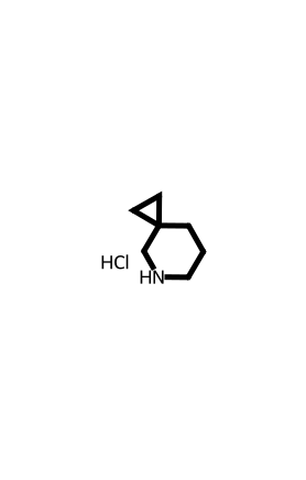 C1CNCC2(C1)CC2.Cl